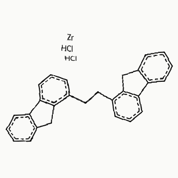 Cl.Cl.[Zr].c1ccc2c(c1)Cc1c(CCc3cccc4c3Cc3ccccc3-4)cccc1-2